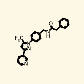 O=C(Cc1ccccc1)NCc1ccc(-n2nc(-c3cccnc3)cc2C(F)(F)F)cc1